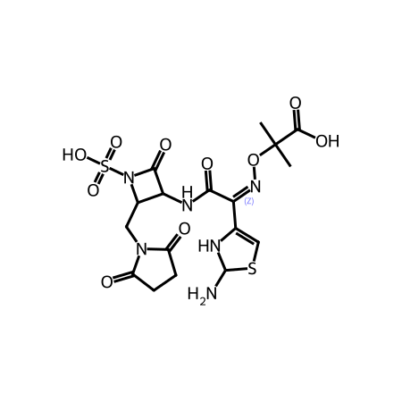 CC(C)(O/N=C(\C(=O)NC1C(=O)N(S(=O)(=O)O)C1CN1C(=O)CCC1=O)C1=CSC(N)N1)C(=O)O